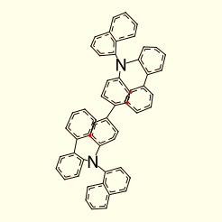 c1ccc(-c2ccccc2N(c2ccc(-c3ccc(N(c4ccccc4-c4ccccc4)c4cccc5ccccc45)cc3)cc2)c2cccc3ccccc23)cc1